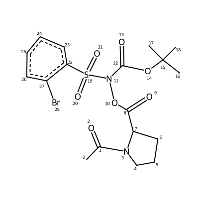 CC(=O)N1CCCC1C(=O)ON(C(=O)OC(C)(C)C)S(=O)(=O)c1ccccc1Br